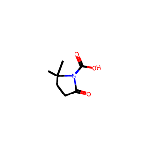 CC1(C)CCC(=O)N1C(=O)O